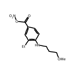 CCc1cc(C(=O)O[N+](=O)[O-])ccc1NCCCOC